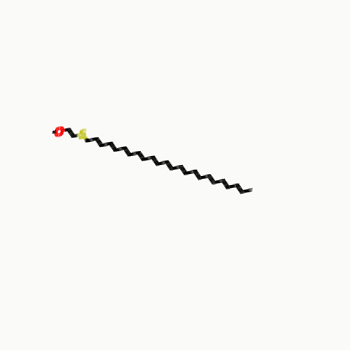 CCCCCCCCCCCCCCCCCCCCCCCCSCC[O]